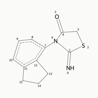 N=C1SCC(=O)N1c1cccc2c1CCC2